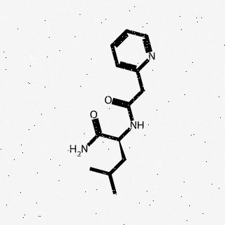 CC(C)C[C@H](NC(=O)Cc1ccccn1)C(N)=O